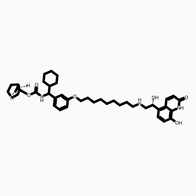 O=C(NC(c1cccc(OCCCCCCCCCNC[C@H](O)c2ccc(O)c3[nH]c(=O)ccc23)c1)C1CCCCC1)O[C@H]1CN2CCC1CC2